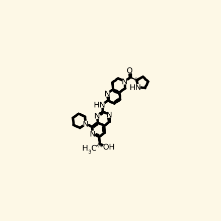 C[C@@H](O)c1cc2cnc(Nc3ccc4c(n3)CCN(C(=O)[C@H]3CCCN3)C4)nc2c(N2CCCCC2)n1